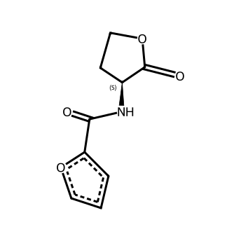 O=C(N[C@H]1CCOC1=O)c1ccco1